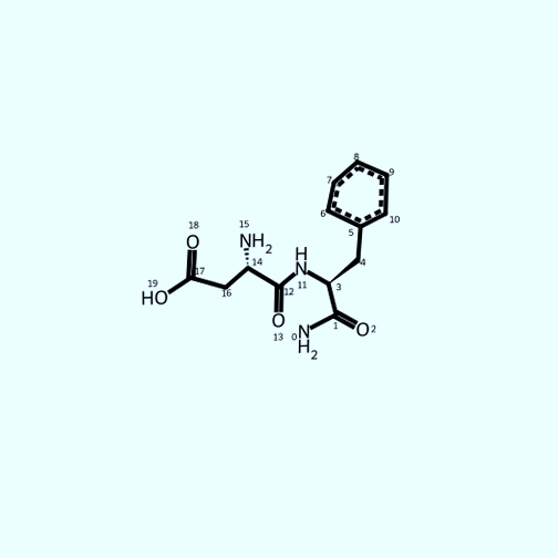 NC(=O)[C@H](Cc1ccccc1)NC(=O)[C@@H](N)CC(=O)O